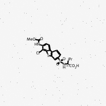 COC(=O)Nc1ccc2c(sc3cc(S(=O)(=O)N[C@H](C(=O)O)C(C)C)ccc32)c1Cl